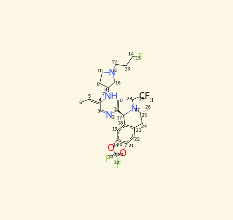 C=C(/N=C\C(=C/C)N[C@H]1CCN(CCCF)C1)[C@@H]1c2cc3c(cc2C[C@@H](C)N1CC(F)(F)F)OC(F)(F)O3